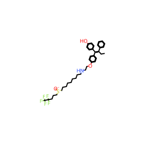 CCC(=C(c1ccc(O)cc1)c1ccc(OCCNCCCCCCCCC[S+]([O-])CCCC(F)(F)C(F)(F)F)cc1)c1ccccc1